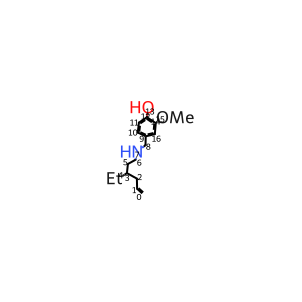 C=CCC(CC)CCNCc1ccc(O)c(OC)c1